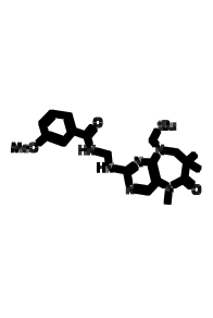 COc1cccc(C(=O)NCNc2ncc3c(n2)N(CC(C)(C)C)CC(C)(C)C(=O)N3C)c1